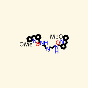 COc1cccc2cc3cccc(C(=O)NCCCN(C)CCCNC(=O)c4cccc5cc6cccc(OC)c6nc45)c3nc12